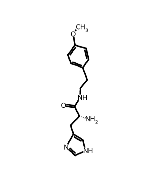 COc1ccc(CCNC(=O)[C@H](N)Cc2c[nH]cn2)cc1